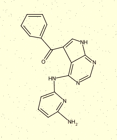 Nc1cccc(Nc2ncnc3[nH]cc(C(=O)c4ccccc4)c23)n1